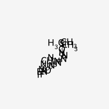 CCNCc1cc(OC2CCN([C@H]3C[C@](CC#N)(n4cc(-c5ncnc6c5ccn6COCC[Si](C)(C)C)cn4)C3)CC2)nc(C(F)(F)F)n1